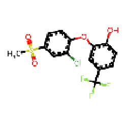 CS(=O)(=O)c1ccc(Oc2cc(C(F)(F)F)ccc2O)c(Cl)c1